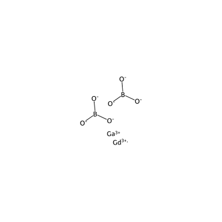 [Ga+3].[Gd+3].[O-]B([O-])[O-].[O-]B([O-])[O-]